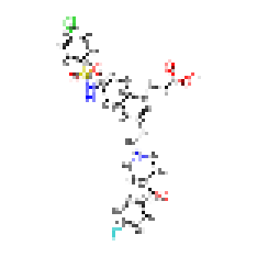 COC(=O)CCc1cc(CCN2CCC(C(=O)c3ccc(F)cc3)CC2)cc2c1CCC(NS(=O)(=O)c1ccc(Cl)cc1)C2